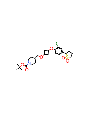 CC(C)(C)OC(=O)N1CCC(COC2CC(Oc3ccc(C4CCCS4(=O)=O)cc3Cl)C2)CC1